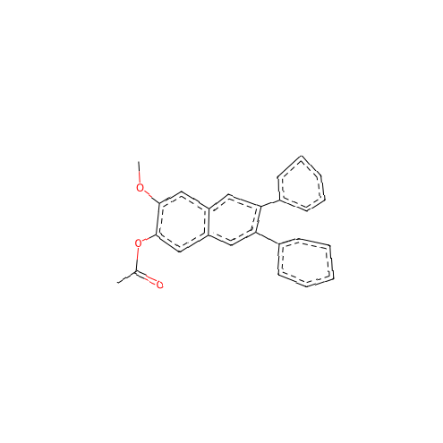 COc1cc2cc(-c3ccccc3)c(-c3ccccc3)cc2cc1OC(C)=O